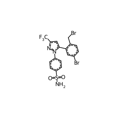 NS(=O)(=O)c1ccc(-n2nc(C(F)(F)F)cc2-c2cc(Br)ccc2CBr)cc1